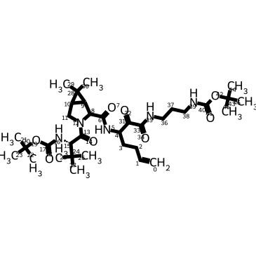 C=CCCC(NC(=O)C1C2C(CN1C(=O)[C@@H](NC(=O)OC(C)(C)C)C(C)(C)C)C2(C)C)C(=O)C(=O)NCCCNC(=O)OC(C)(C)C